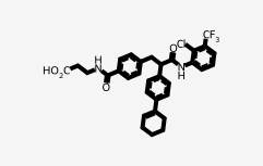 O=C(O)CCNC(=O)c1ccc(CC(C(=O)Nc2cccc(C(F)(F)F)c2Cl)c2ccc(C3=CCCCC3)cc2)cc1